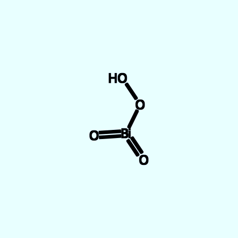 [O]=[Bi](=[O])[O]O